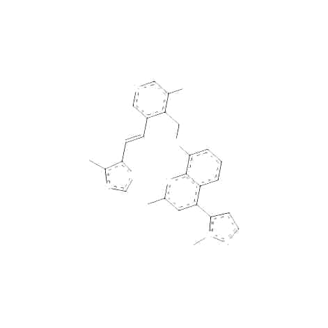 Cc1cc(-c2ccnn2C)c2cccc(OCc3c(Cl)cncc3/C=C/c3scnc3C)c2n1